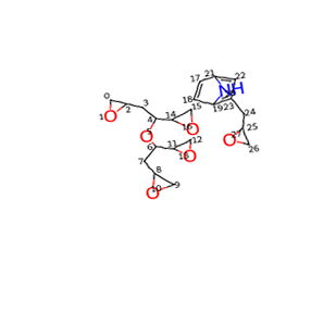 C1OC1CC(OC(CC1CO1)C1CO1)C1CO1.c1cc2[nH]c1cc2CC1CO1